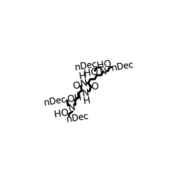 CCCCCCCCCCC(O)CN(CCCCC1NC(=O)C(CCCCN(CC(O)CCCCCCCCCC)CC(O)CCCCCCCCCC)NCC1=O)CC(O)CCCCCCCCCC